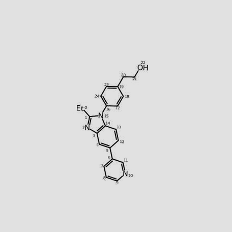 CCc1nc2cc(-c3cccnc3)ccc2n1-c1ccc(CCO)cc1